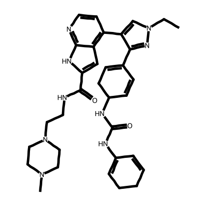 CCn1cc(-c2ccnc3[nH]c(C(=O)NCCN4CCN(C)CC4)cc23)c(C2=CCC(NC(=O)NC3=CCCC=C3)C=C2)n1